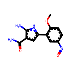 COc1ccc(N=O)cc1-c1cc(C(N)=O)c(N)[nH]1